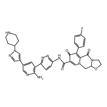 Nc1ncc(-c2cnn(C3CCNCC3)c2)cc1-c1ccc(NC(=O)c2cn3c(c(-c4ccc(F)cc4)c2=O)C(=O)N2CCOC2C3)nn1